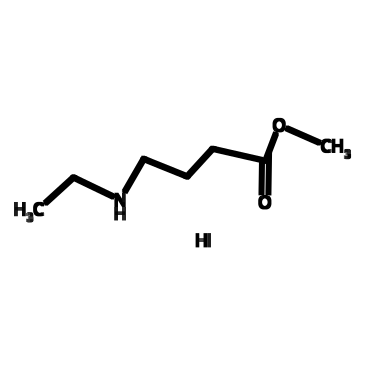 CCNCCCC(=O)OC.I